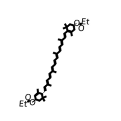 CCC(=O)O[C@@H]1CC(C)=C(/C=C/C(C)=C/C=C/C(C)=C/C=C/C=C(C)/C=C/C=C(C)/C=C/[C@H]2C(C)=C[C@H](OC(=O)CC)CC2(C)C)C(C)(C)C1